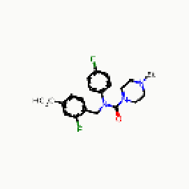 CCN1CCN(C(=O)N(Cc2ccc(C(=O)O)cc2F)c2ccc(F)cc2)CC1